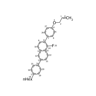 C=CCOc1ccc(-c2ccc3cc(-c4ccc(CCCCCC)cc4)ccc3c2F)cc1